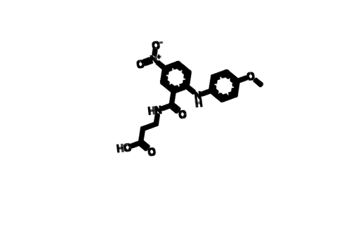 COc1ccc(Nc2ccc([N+](=O)[O-])cc2C(=O)NCCC(=O)O)cc1